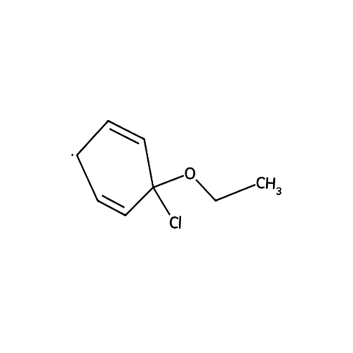 CCOC1(Cl)C=C[CH]C=C1